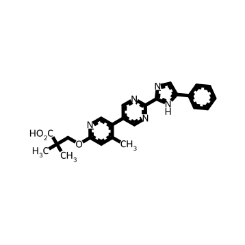 Cc1cc(OCC(C)(C)C(=O)O)ncc1-c1cnc(-c2ncc(-c3ccccc3)[nH]2)nc1